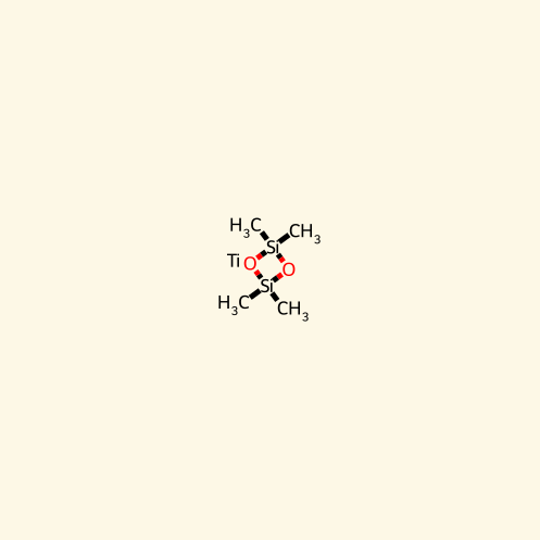 C[Si]1(C)O[Si](C)(C)O1.[Ti]